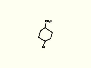 [CH2]CN1CCC(C(=O)O)CC1